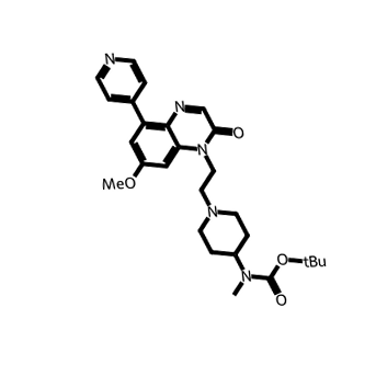 COc1cc(-c2ccncc2)c2ncc(=O)n(CCN3CCC(N(C)C(=O)OC(C)(C)C)CC3)c2c1